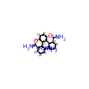 NC(=O)c1cccc(N)c1-c1ccccc1-c1c(N)cccc1C(N)=O